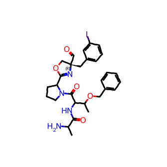 CC(N)C(=O)NC(C(=O)N1CCCC1C1=N[C@](C=O)(Cc2cccc(I)c2)CO1)C(C)OCc1ccccc1